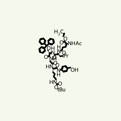 C=CCOC(=O)[C@H](CCC(=O)N[C@@H](CC(C)C)C(=O)N[C@@H](COC(c1ccccc1)(c1ccccc1)c1ccccc1)C(=O)NCC(=O)N[C@@H](CCCCNC(=O)OC(C)(C)C)C(=O)Nc1ccc(CO)cc1)NC(C)=O